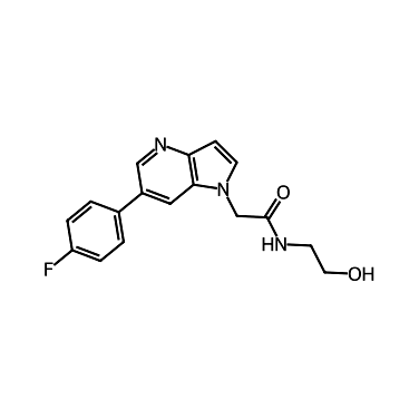 O=C(Cn1ccc2ncc(-c3ccc(F)cc3)cc21)NCCO